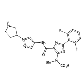 CC(C)(C)N(C(=O)O)c1sc(-c2c(F)cccc2F)nc1C(=O)Nc1cnn(C2CCNC2)c1